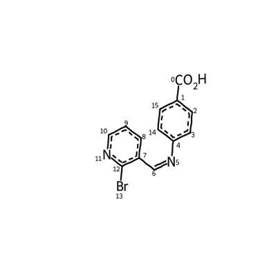 O=C(O)c1ccc(/N=C\c2cccnc2Br)cc1